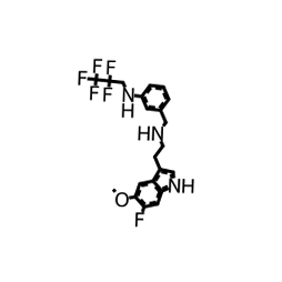 COc1cc2c(CCNCc3cccc(NCC(F)(F)C(F)(F)F)c3)c[nH]c2cc1F